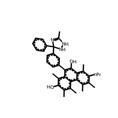 CCCc1c(C)c(C)c2c(c1C)c(O)c(-c1cccc(C3(c4ccccc4)N=C(C)NN3)c1)c1c(C)c(O)c(C)c(C)c12